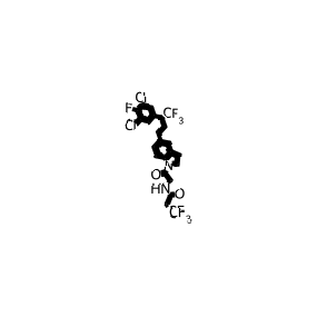 O=C(CC(F)(F)F)NCC(=O)n1ccc2cc(CCC(c3cc(Cl)c(F)c(Cl)c3)C(F)(F)F)ccc21